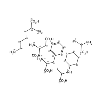 CC(C)C(N)C(=O)O.CC(NC1CCCCC1)C(=O)O.NC(CC(=O)O)C(=O)O.NC(Cc1ccccc1)C(=O)O.NCCCCC(N)C(=O)O